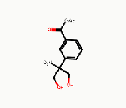 COC(=O)c1cccc(C(CO)(CO)[N+](=O)[O-])c1